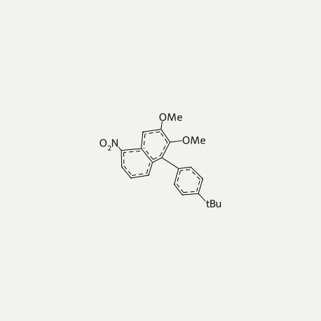 COc1cc2c([N+](=O)[O-])cccc2c(-c2ccc(C(C)(C)C)cc2)c1OC